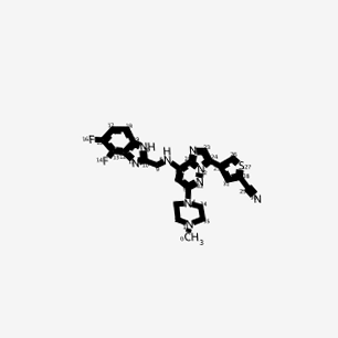 CN1CCN(c2cc(NCc3nc4c(F)c(F)ccc4[nH]3)c3ncc(-c4csc(C#N)c4)n3n2)CC1